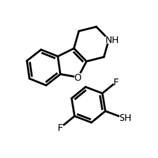 Fc1ccc(F)c(S)c1.c1ccc2c3c(oc2c1)CNCC3